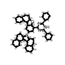 c1ccc(C2=NC(c3cc(-n4c5ccc6ccccc6c5c5c6ccccc6ccc54)cc4c3oc3ccc5ccccc5c34)=NC(c3ccccc3)N2)cc1